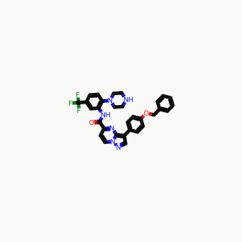 O=C(Nc1cc(C(F)(F)F)ccc1N1CCNCC1)c1ccn2ncc(-c3ccc(OCc4ccccc4)cc3)c2n1